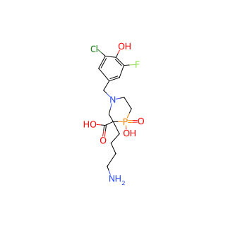 NCCCCC1(C(=O)O)CN(Cc2cc(F)c(O)c(Cl)c2)CCP1(=O)O